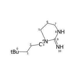 CC(C)(C)CCCN1CCCNC1=N